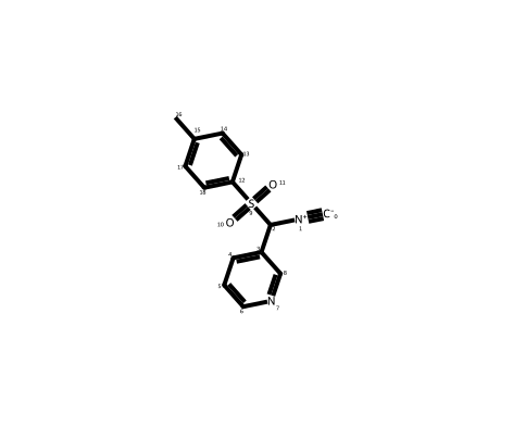 [C-]#[N+]C(c1cccnc1)S(=O)(=O)c1ccc(C)cc1